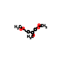 C=CC(=O)OCCCc1ccc(-c2cc(OC)cc(-c3ccc(COC(=O)C=C)cc3)c2)cc1